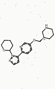 c1cc(-c2ccc(OC[C@@H]3CCCNC3)cn2)n(C2CCCCO2)n1